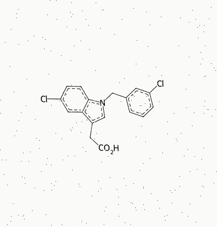 O=C(O)Cc1cn(Cc2cccc(Cl)c2)c2ccc(Cl)cc12